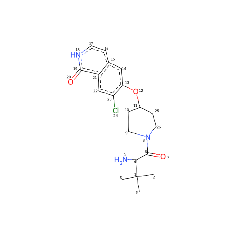 CC(C)(C)C(N)C(=O)N1CCC(Oc2cc3cc[nH]c(=O)c3cc2Cl)CC1